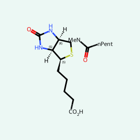 CCCCCC(=O)NC.O=C(O)CCCC[C@@H]1SC[C@@H]2NC(=O)N[C@@H]21